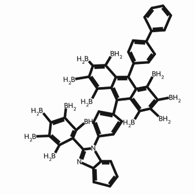 Bc1c(B)c(B)c(-c2nc3ccccc3n2-c2ccc(-c3c4c(B)c(B)c(B)c(B)c4c(-c4ccc(-c5ccccc5)cc4)c4c(B)c(B)c(B)c(B)c34)cc2)c(B)c1B